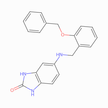 O=c1[nH]c2ccc(NCc3ccccc3OCc3ccccc3)cc2[nH]1